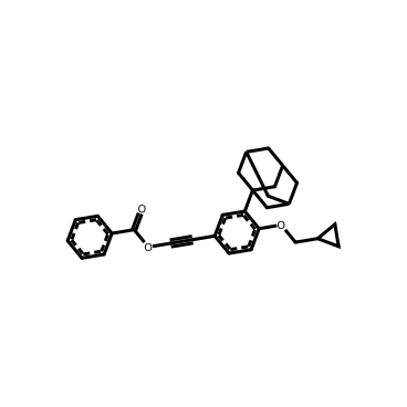 O=C(OC#Cc1ccc(OCC2CC2)c(C23CC4CC(CC(C4)C2)C3)c1)c1ccccc1